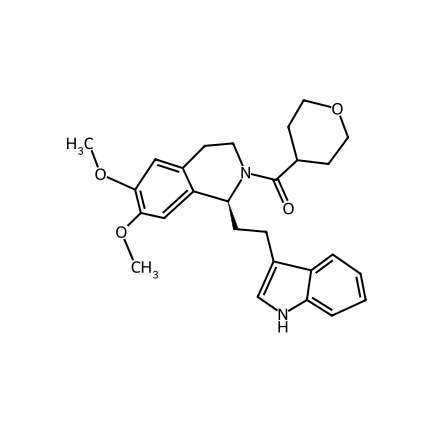 COc1cc2c(cc1OC)[C@H](CCc1c[nH]c3ccccc13)N(C(=O)C1CCOCC1)CC2